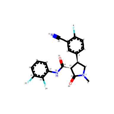 CN1C[C@H](c2ccc(F)c(C#N)c2)[C@@H](C(=O)Nc2cccc(F)c2F)C1=O